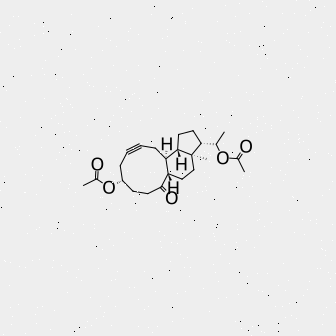 CC(=O)OC(C)[C@H]1CC[C@H]2[C@@H]3CC#CC[C@@H](OC(C)=O)CCC(=O)[C@H]3CC[C@]12C